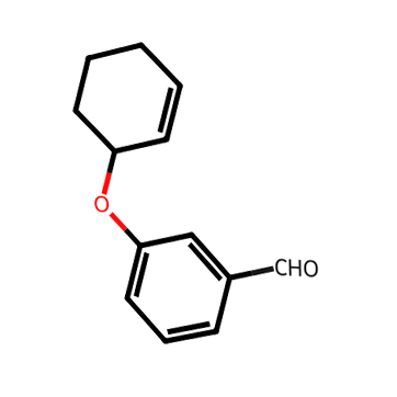 O=Cc1cccc(OC2C=CCCC2)c1